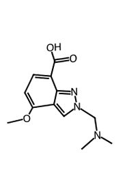 COc1ccc(C(=O)O)c2nn(CN(C)C)cc12